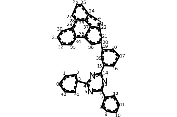 c1ccc(-c2nc(-c3ccccc3)nc(-c3cccc(-c4cc5sc6cccc7c8ccccc8c(c4)c5c67)c3)n2)cc1